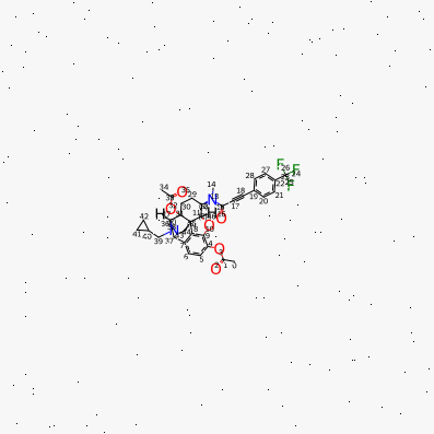 CC(=O)Oc1ccc2c3c1O[C@H]1[C@H](N(C)C(=O)C#Cc4ccc(C(F)(F)F)cc4)CCC4(OC(C)=O)[C@@H](C2)N(CC2CC2)CC[C@]314